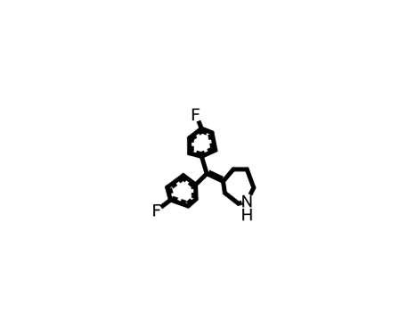 Fc1ccc(C(=C2CCCNCC2)c2ccc(F)cc2)cc1